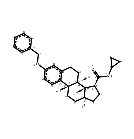 C[C@@]12CC[C@H](C(=O)NC3CC3)[C@H]1[C@@H]1CCc3cc(OCc4ccccc4)ccc3[C@H]1CC2